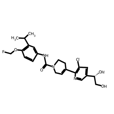 CC(C)c1cc(NC(=O)N2CC=C(c3ncc([C@H](O)CO)cc3Cl)CC2)ccc1OCF